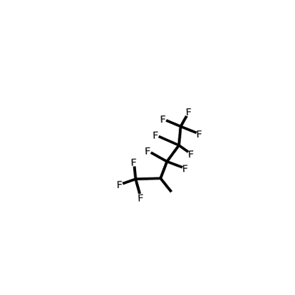 CC(C(F)(F)F)C(F)(F)C(F)(F)C(F)(F)F